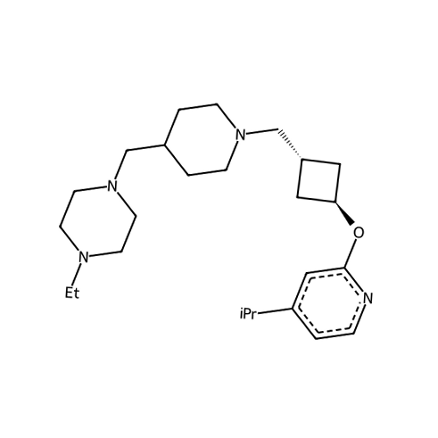 CCN1CCN(CC2CCN(C[C@H]3C[C@H](Oc4cc(C(C)C)ccn4)C3)CC2)CC1